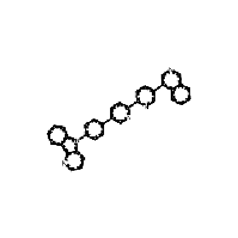 c1ccc2c(-c3ccc(-c4ccc(-c5ccc(-n6c7ccccc7c7ncccc76)cc5)cn4)nc3)cncc2c1